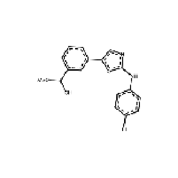 COC(O)c1cccc(-c2cnc(Nc3ccc(Cl)cc3)o2)c1